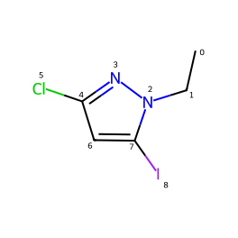 CCn1nc(Cl)cc1I